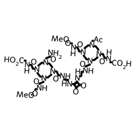 COOCNC(=O)CN1CCN(CC(C)=O)CCN(CC(=O)NCC(=O)O)CCN(CC(=O)NCCNc2c(NCCNC(=O)CN3CCN(CC(N)=O)CCN(CC(=O)NCC(=O)O)CCN(CC(=O)NCOOC)CC3)c(=O)c2=O)CC1